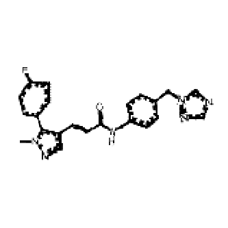 Cn1ncc(C=CC(=O)Nc2ccc(Cn3cncn3)cc2)c1-c1ccc(F)cc1